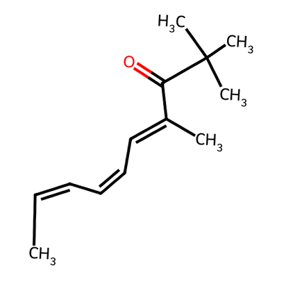 C\C=C/C=C\C=C(/C)C(=O)C(C)(C)C